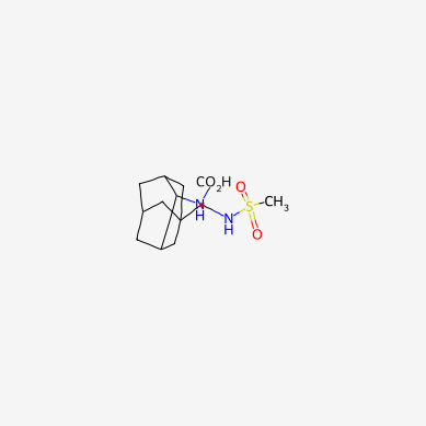 CS(=O)(=O)NCC12CC3CC(C1)C(NC(=O)O)C(C3)C2